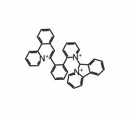 c1ccc(-c2cc3ccccc3c3cccc[n+]23)c(-c2cccc[n+]2C2c3ccccc3-c3cccc[n+]32)c1